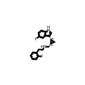 Fc1ccc2[nH]cc([C@@H]3C[C@H]3CNCCc3ccccc3F)c2c1